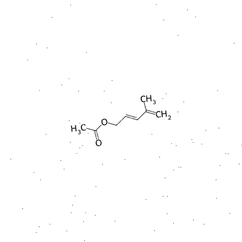 C=C(C)C=CCOC(C)=O